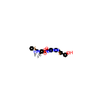 O=C(NS(=O)(=O)c1ccc(NCCSc2ccccc2)c(C(F)(F)F)c1)c1ccc(N2CCN(Cc3cc(-c4cccc(O)c4)cs3)CC2)cc1